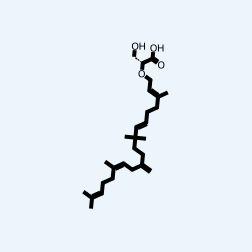 C=C(CC=C(C)CCC=C(C)C)CCC(C)(C)C=CCCC(C)=CCO[C@H](CO)C(=O)O